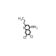 CCCc1cc(N)c2cc(Cl)c(Cl)cc2n1